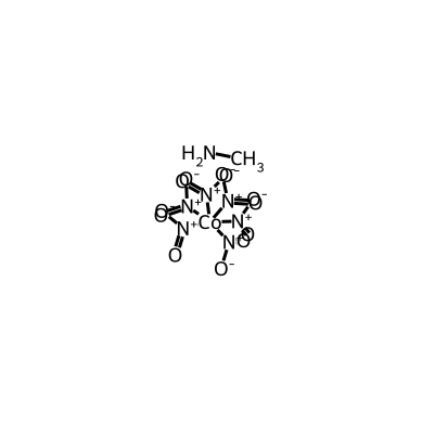 CN.O=[N+]([O-])[Co]([N+](=O)[O-])([N+](=O)[O-])([N+](=O)[O-])([N+](=O)[O-])[N+](=O)[O-]